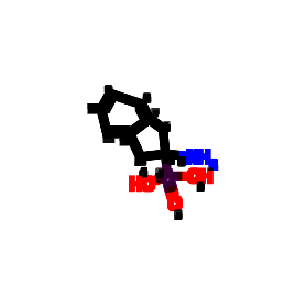 NC1(P(=O)(O)O)Cc2ccccc2C1